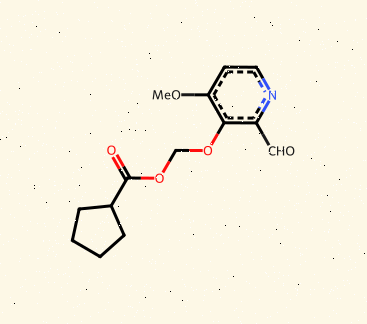 COc1ccnc(C=O)c1OCOC(=O)C1CCCC1